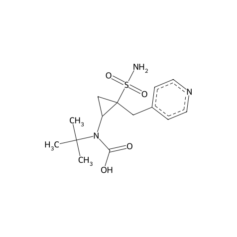 CC(C)(C)N(C(=O)O)C1CC1(Cc1ccncc1)S(N)(=O)=O